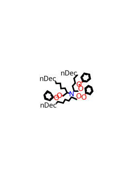 CCCCCCCCCCCCCCC(COOc1ccccc1)N(C(CCCCCCCCCCCCCC)COOc1ccccc1)C(CCCCCCCCCCCCCC)COOc1ccccc1